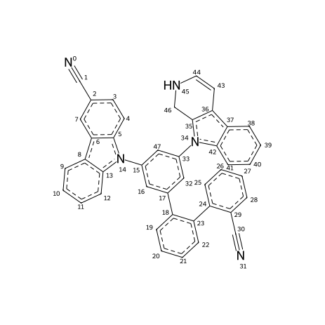 N#Cc1ccc2c(c1)c1ccccc1n2-c1cc(-c2ccccc2-c2ccccc2C#N)cc(-n2c3c(c4ccccc42)C=CNC3)c1